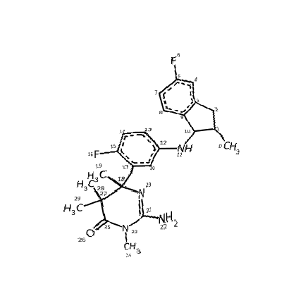 CC1Cc2cc(F)ccc2C1Nc1ccc(F)c(C2(C)N=C(N)N(C)C(=O)C2(C)C)c1